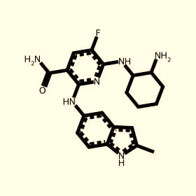 Cc1cc2cc(Nc3nc(NC4CCCCC4N)c(F)cc3C(N)=O)ccc2[nH]1